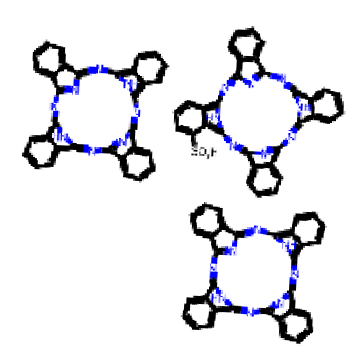 O=S(=O)(O)c1cccc2c3nc4nc(nc5[nH]c(nc6nc(nc([nH]3)c12)-c1ccccc1-6)c1ccccc51)-c1ccccc1-4.c1ccc2c(c1)-c1nc-2nc2[nH]c(nc3nc(nc4[nH]c(n1)c1ccccc41)-c1ccccc1-3)c1ccccc21.c1ccc2c(c1)-c1nc-2nc2[nH]c(nc3nc(nc4[nH]c(n1)c1ccccc41)-c1ccccc1-3)c1ccccc21